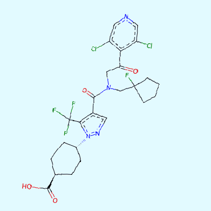 O=C(CN(CC1(F)CCCC1)C(=O)c1cnn([C@H]2CC[C@H](C(=O)O)CC2)c1C(F)(F)F)c1c(Cl)cncc1Cl